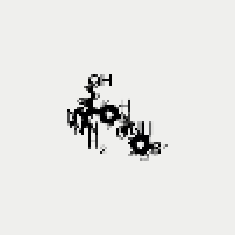 Nc1ncnc2sc(CCO)c(-c3ccc(NC(=O)Nc4cccc(Br)c4)cc3)c12